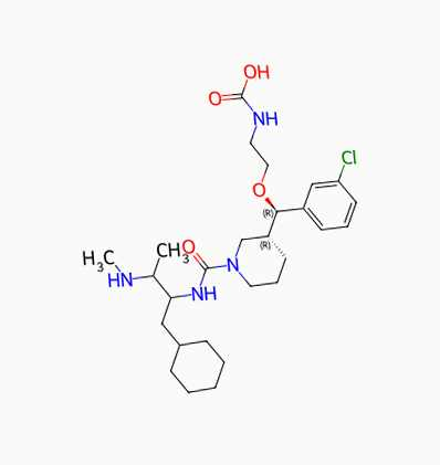 CNC(C)C(CC1CCCCC1)NC(=O)N1CCC[C@@H]([C@@H](OCCNC(=O)O)c2cccc(Cl)c2)C1